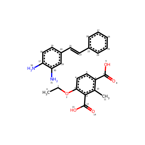 CCOc1ccc(C(=O)O)c(C)c1C(=O)O.Nc1ccc(C=Cc2ccccc2)cc1N